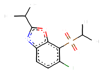 CC(C)c1nc2ccc(Cl)c(S(=O)(=O)C(C)C)c2o1